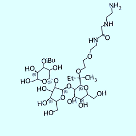 CCC(C)(OCCOCCNC(=O)CNCCN)[C@H]1OC(CO)[C@@H](O)C(O)C1O[C@H]1OC(CO)[C@@H](O)C(O)C1O[C@@H]1OC(CO)[C@@H](O)C(OCC(C)C)C1O